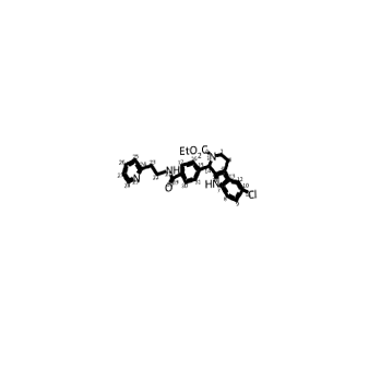 CCOC(=O)N1CCc2c([nH]c3ccc(Cl)cc23)C1c1ccc(C(=O)NCCc2ccccn2)cc1